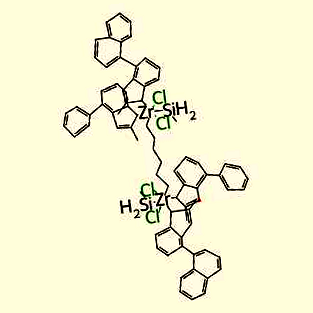 C[SiH2][Zr]([Cl])([Cl])([CH2]CCCC[CH2][Zr]([Cl])([Cl])([SiH2]C)([CH]1C(C)=Cc2c(-c3ccccc3)cccc21)[CH]1C(C)=Cc2c(-c3cccc4ccccc34)cccc21)([CH]1C(C)=Cc2c(-c3ccccc3)cccc21)[CH]1C(C)=Cc2c(-c3cccc4ccccc34)cccc21